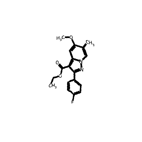 CCOC(=O)c1c(-c2ccc(F)cc2)nn2cc(C)c(OC)cc12